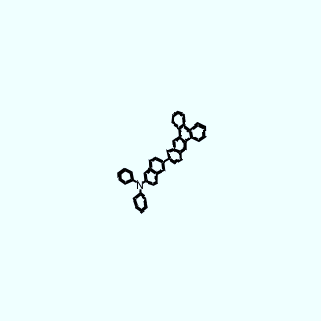 c1ccc(N(c2ccccc2)c2ccc3cc(-c4ccc5cc6c7ccccc7c7ccccc7c6cc5c4)ccc3c2)cc1